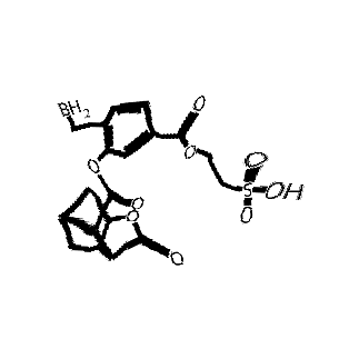 BCc1ccc(C(=O)OCCS(=O)(=O)O)cc1OC(=O)C1C2CC3OC(=O)C1C3C2